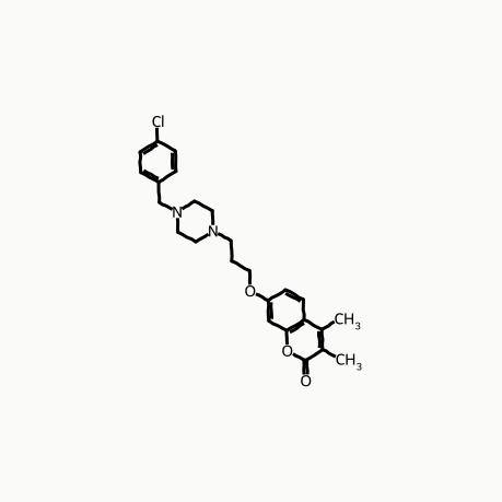 Cc1c(C)c2ccc(OCCCN3CCN(Cc4ccc(Cl)cc4)CC3)cc2oc1=O